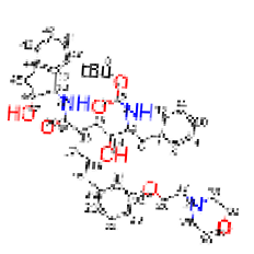 CC(C)(C)OC(=O)NC(Cc1ccccc1)C(O)CC(C/C=C/c1cccc(OCCN2CCOCC2)c1)C(=O)NC1c2ccccc2CC1O